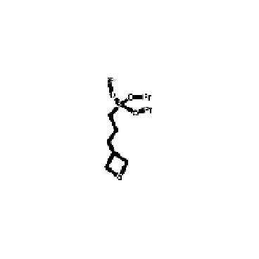 CC(C)O[Si](CCCC1COC1)(OC(C)C)OC(C)C